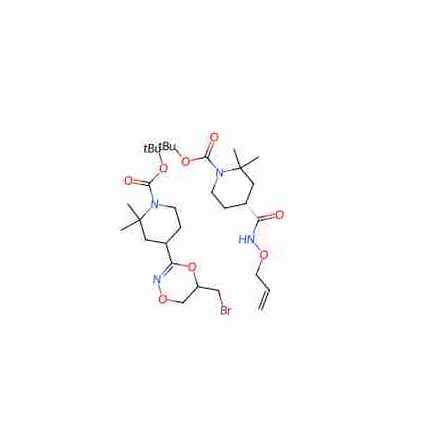 C=CCONC(=O)[C@@H]1CCN(C(=O)OC(C)(C)C)C(C)(C)C1.CC(C)(C)OC(=O)N1CCC(C2=NOCC(CBr)O2)CC1(C)C